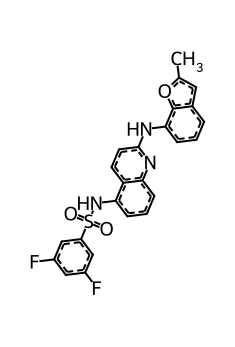 Cc1cc2cccc(Nc3ccc4c(NS(=O)(=O)c5cc(F)cc(F)c5)cccc4n3)c2o1